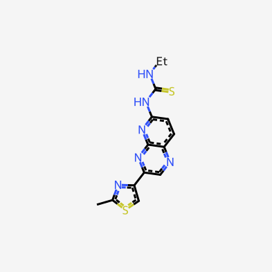 CCNC(=S)Nc1ccc2ncc(-c3csc(C)n3)nc2n1